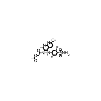 COc1ccc2c(N(C)c3cc(F)c(S(N)(=O)=O)cc3F)c(NC(=O)COC(C)=O)c(C)nc2n1